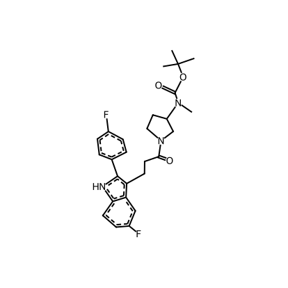 CN(C(=O)OC(C)(C)C)C1CCN(C(=O)CCc2c(-c3ccc(F)cc3)[nH]c3ccc(F)cc23)C1